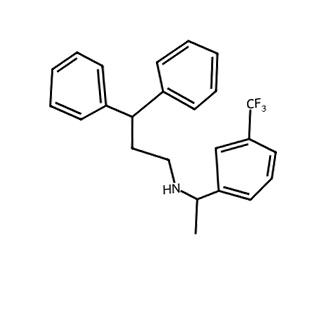 CC(NCCC(c1ccccc1)c1ccccc1)c1cccc(C(F)(F)F)c1